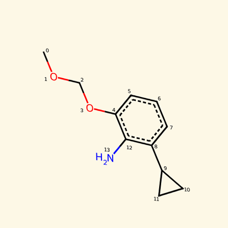 COCOc1cccc(C2CC2)c1N